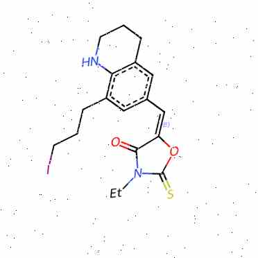 CCN1C(=O)/C(=C\c2cc(CCCI)c3c(c2)CCCN3)OC1=S